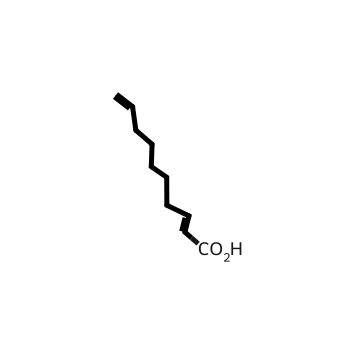 C=CCCCCCC=CC(=O)O